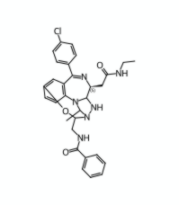 CCNC(=O)C[C@@H]1N=C(c2ccc(Cl)cc2)c2cc3ccc2N2C1NN(C(CNC(=O)c1ccccc1)O3)C2C